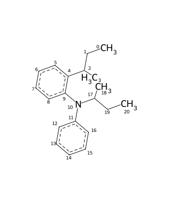 CCC(C)c1ccccc1N(c1ccccc1)C(C)CC